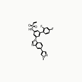 C=CS(=O)(=O)Nc1cc(-c2ccc(F)cc2F)cc(-n2cnc3cc(-c4cnn(C)c4)ccc32)c1